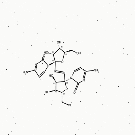 Nc1ccn([C@]2(N=N[C@@]3(n4ccc(N)nc4=O)O[C@H](CO)[C@@H](O)[C@H]3O)O[C@H](CO)[C@@H](O)[C@H]2O)c(=O)n1